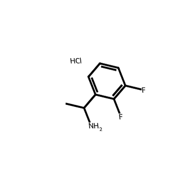 CC(N)c1cccc(F)c1F.Cl